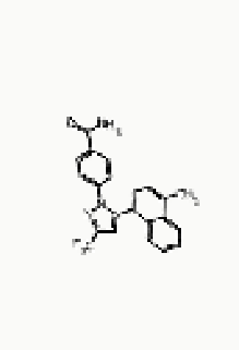 Cc1ccc(-c2cc(C(F)(F)F)nn2-c2ccc(C(N)=O)cc2)c2ccccc12